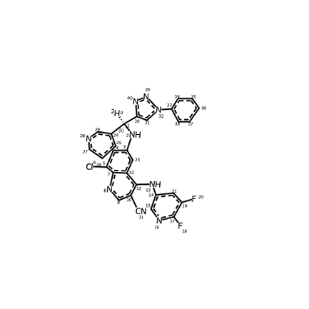 [2H][C@](Nc1cc(Cl)c2ncc(C#N)c(Nc3cnc(F)c(F)c3)c2c1)(c1cccnc1)c1cn(-c2ccccc2)nn1